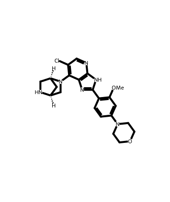 COc1cc(N2CCOCC2)ccc1-c1nc2c(N3C[C@@H]4C[C@H]3CN4)c(Cl)cnc2[nH]1